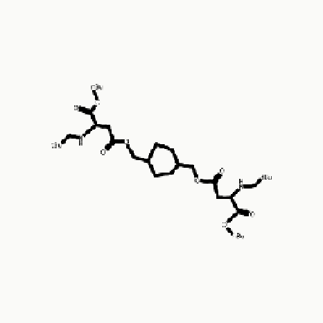 CCCCOC(=O)C(CC(=O)OCC1CCC(COC(=O)CC(NCC(C)(C)C)C(=O)OCCCC)CC1)NCC(C)(C)C